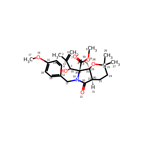 C=C(C)[C@H](O)[C@@]1(C(=O)OC)N(Cc2ccc(OC)cc2)C(=O)[C@@H]2CC[Si](C)(C)O[C@@]21C